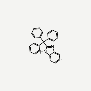 [c]1ccc2[nH]c(C(c3ccccc3)(c3ccccc3)c3ccccc3)nc2c1